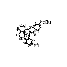 Cc1c2ccc(CC(C)(C)C)cc2cc2c3ncnc4ccc5c6ccc(C(C)C)cc6n(c12)c5c43